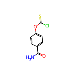 NC(=O)c1ccc(OC(=S)Cl)cc1